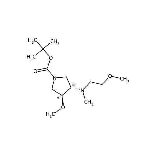 COCCN(C)[C@H]1CN(C(=O)OC(C)(C)C)C[C@@H]1OC